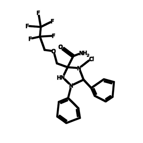 NC(=O)C1(COCC(F)(F)C(F)(F)F)NN(c2ccccc2)C(c2ccccc2)N1Cl